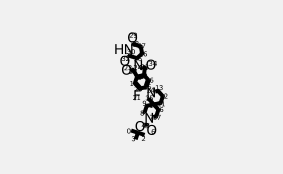 CC(C)(C)OC(=O)N1CCC2(CCCN(c3cc4c(cc3F)C(=O)N(C3CCC(=O)NC3=O)C4=O)C2)CC1